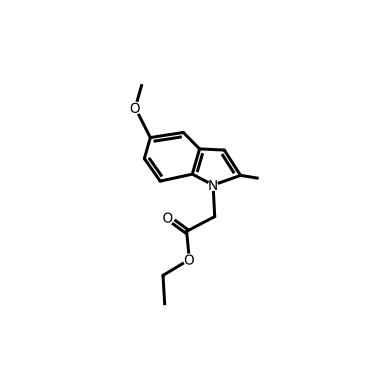 CCOC(=O)Cn1c(C)cc2cc(OC)ccc21